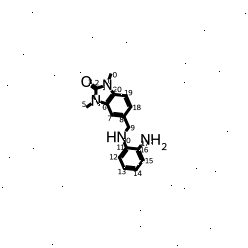 Cn1c(=O)n(C)c2cc(CNc3ccccc3N)ccc21